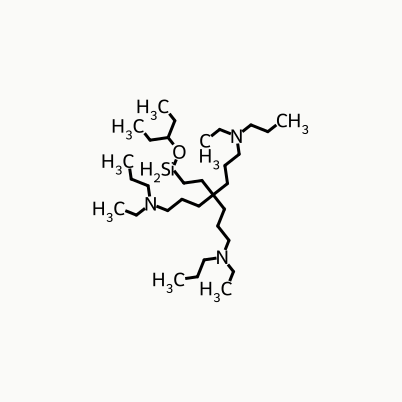 CCCN(CC)CCCC(CCCN(CC)CCC)(CCCN(CC)CCC)CC[SiH2]OC(CC)CC